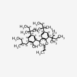 C=CCOc1c(C(C)c2cc(C(C)(C)CC)cc(CC(C)CC)c2O)cc(C(C)(C)CC)cc1C(C)(C)CC